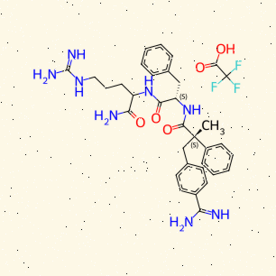 C[C@@](Cc1ccc(C(=N)N)cc1)(C(=O)N[C@@H](Cc1ccccc1)C(=O)NC(CCCNC(=N)N)C(N)=O)c1ccccc1.O=C(O)C(F)(F)F